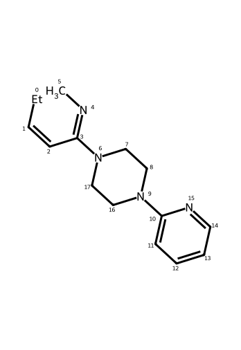 CC/C=C\C(=N/C)N1CCN(c2ccccn2)CC1